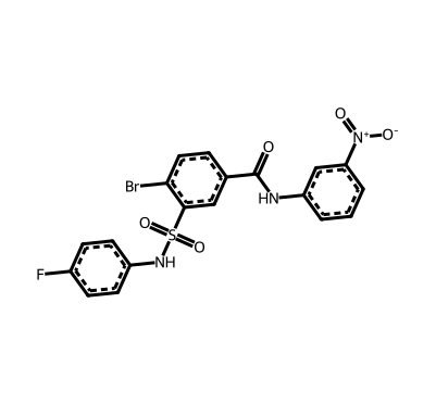 O=C(Nc1cccc([N+](=O)[O-])c1)c1ccc(Br)c(S(=O)(=O)Nc2ccc(F)cc2)c1